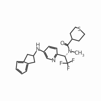 CN(C(=O)C1CCSCC1)[C@@H](c1ccc(NC2Cc3ccccc3C2)cn1)C(F)(F)F